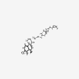 CCCCC[Si@H]1CC[C@H](CCCC[C@H]2CC[C@H](c3ccc(Cl)c(F)c3C(F)F)CC2)CC1